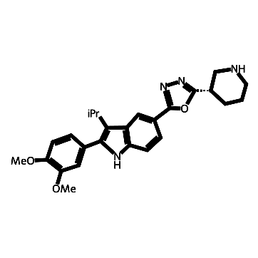 COc1ccc(-c2[nH]c3ccc(-c4nnc([C@H]5CCCNC5)o4)cc3c2C(C)C)cc1OC